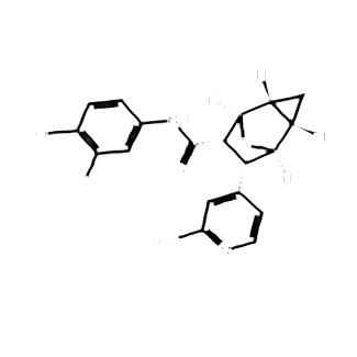 Cc1cc([C@H]2[C@H]3O[C@H]([C@@H]4C[C@@H]43)[C@H]2C(=O)Nc2ccc(Cl)c(Cl)c2)ccn1